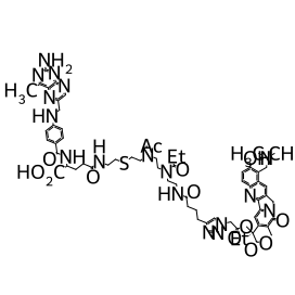 CCC(=O)N(CCNC(=O)CCCc1cn(CC(=O)O[C@]2(CC)C(=O)OCc3c2cc2n(c3=O)Cc3cc4c(CN(C)C)c(O)ccc4nc3-2)nn1)CCN(CCSCCNC(=O)CCC(NC(=O)c1ccc(NCc2cnc3nc(N)nc(C)c3n2)cc1)C(=O)O)C(C)=O